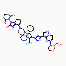 Cn1c(=O)n(N2C(=O)CCCC2=O)c2cccc(N3CCC4(CCNCC4)[C@](C4CCCCC4)(n4cc(-n5cc(-c6cnn7ccc(N8CCOC[C@@H]8CO)nc67)nn5)c(C(F)F)n4)C3)c21